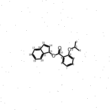 CC(C)Oc1ccccc1C(=O)OC1C=Cc2ccccc21